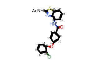 CC(=O)Nc1nc2c(NC(=O)c3ccc(Oc4ccccc4Cl)cc3)cccc2s1